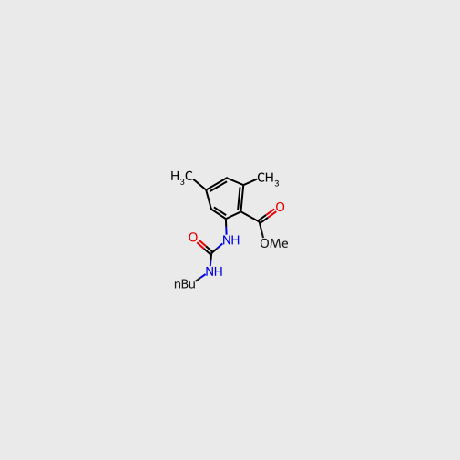 CCCCNC(=O)Nc1cc(C)cc(C)c1C(=O)OC